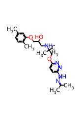 CC(C)=NNc1ccc(OCC(C)(C)NCC(O)COc2cc(C)ccc2C)nn1